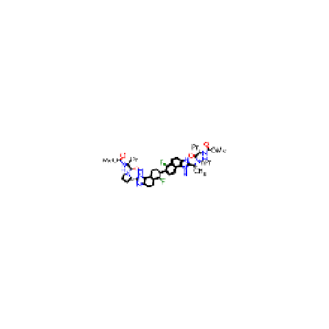 CCCN(C(=O)[C@@H](NC(=O)OC)C(C)C)[C@@H](C)c1nc2ccc3c(F)c(C4CC=c5c(ccc6nc([C@@H]7CCCN7C(=O)[C@@H](NC(=O)OC)C(C)C)[nH]c56)=C4F)ccc3c2[nH]1